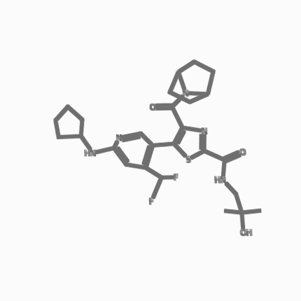 CC(C)(O)CNC(=O)c1nc(C(=O)N2C3CCC2CC3)c(-c2cnc(NC3CCCC3)cc2C(F)F)s1